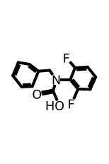 O=C(O)N(Cc1ccccc1)c1c(F)cccc1F